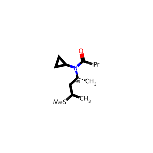 CSC(C)C[C@@H](C)N(C(=O)C(C)C)C1CC1